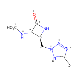 Cc1nnn(C[C@@H]2NC(=O)[C@H]2NC(=O)O)n1